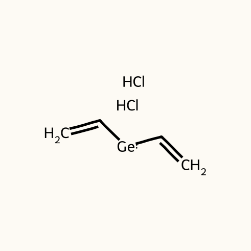 C=[CH][Ge][CH]=C.Cl.Cl